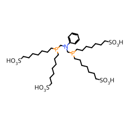 O=S(=O)(O)CCCCCCCP(CCCCCCCS(=O)(=O)O)CN(CP(CCCCCCCS(=O)(=O)O)CCCCCCCS(=O)(=O)O)c1ccccc1